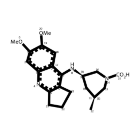 COc1cc2nc3c(c(N[C@@H]4C[C@H](C)CN(C(=O)O)C4)c2cc1OC)CCC3